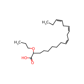 CC/C=C\C/C=C\C/C=C\CCCCCCC(OCCC)C(=O)O